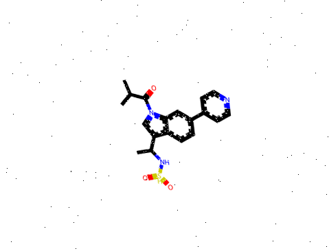 CC(C)C(=O)n1cc(C(C)N[SH](=O)=O)c2ccc(-c3ccncc3)cc21